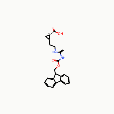 C=C(NCCC1C[C@@H]1C(=O)O)NC(=O)OCC1c2ccccc2-c2ccccc21